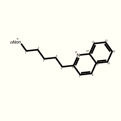 CCCCCCCCCCCCCCc1ccc2ccccc2n1